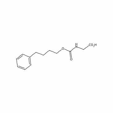 O=C(O)CNC(=O)OCCCCc1ccccc1